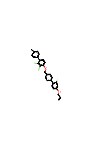 C=CCOc1ccc(-c2ccc(COc3ccc(-c4ccc(C)cc4)c(F)c3F)cc2)c(F)c1